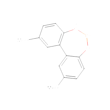 COc1ccc2o[pH]oc3ccc(OC)cc3c2c1